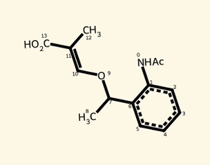 CC(=O)Nc1ccccc1C(C)OC=C(C)C(=O)O